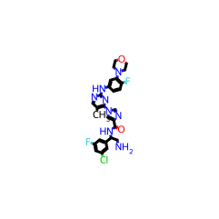 Cc1cnc(Nc2ccc(F)c(N3CCOCC3)c2)nc1-n1cnc(C(=O)NC(CN)c2cc(F)cc(Cl)c2)c1